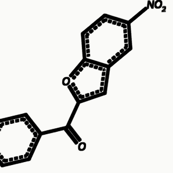 O=C(c1ccccc1)c1cc2cc([N+](=O)[O-])ccc2o1